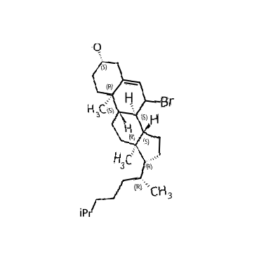 CC(C)CCC[C@@H](C)[C@H]1CC[C@H]2[C@@H]3C(Br)C=C4C[C@@H]([O])CC[C@]4(C)[C@H]3CC[C@]12C